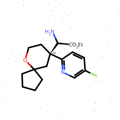 CCOC(=O)C(N)[C@]1(c2ccc(F)cn2)CCOC2(CCCC2)C1